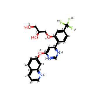 OCC(O)COc1cc(C(F)(F)F)ccc1-c1cc(Oc2ccc3cccnc3c2)ncn1